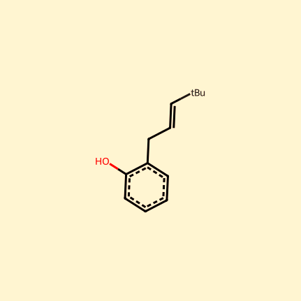 CC(C)(C)C=CCc1ccccc1O